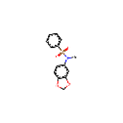 CCN(c1ccc2c(c1)OCO2)S(=O)(=O)c1[c]cccc1